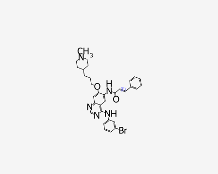 CN1CCC(CCCOc2cc3ncnc(Nc4cccc(Br)c4)c3cc2NC(=O)/C=C/c2ccccc2)CC1